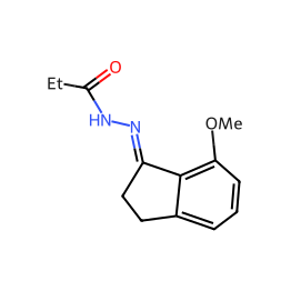 CCC(=O)N/N=C1\CCc2cccc(OC)c21